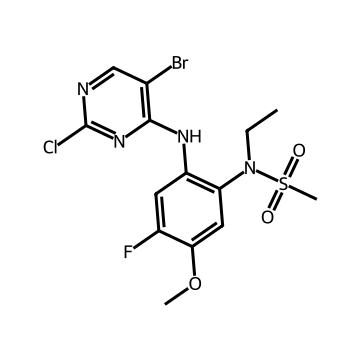 CCN(c1cc(OC)c(F)cc1Nc1nc(Cl)ncc1Br)S(C)(=O)=O